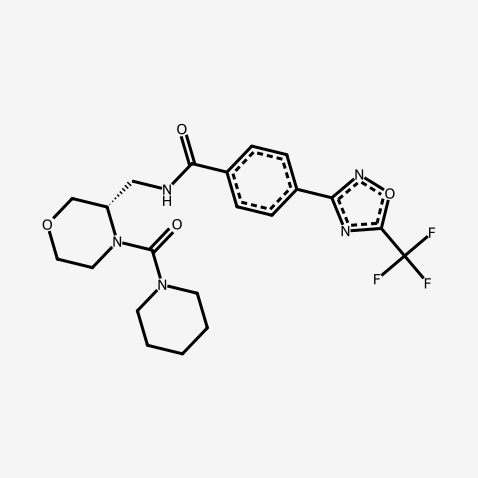 O=C(NC[C@H]1COCCN1C(=O)N1CCCCC1)c1ccc(-c2noc(C(F)(F)F)n2)cc1